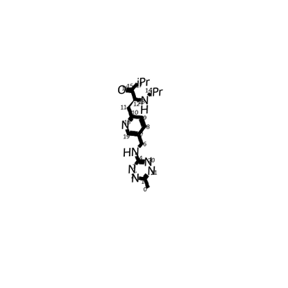 Cc1nnc(NCc2ccc(C[C@H](NC(C)C)C(=O)C(C)C)nc2)nn1